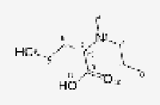 CCCN(C)[C@@H](CCO)C(=O)O